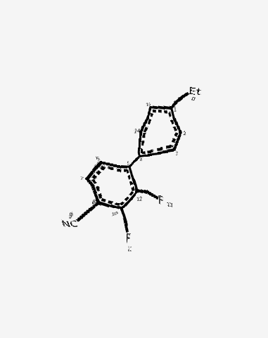 CCc1ccc(-c2ccc(C#N)c(F)c2F)cc1